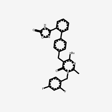 CCCCc1nc(C)n(Cc2ccc(F)cc2F)c(=O)c1Cc1ccc(-c2ccccc2-c2noc(=O)[nH]2)cc1